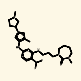 Cc1nn(C2CCN(C)C2)cc1Nc1ncc(C(F)F)c(NCCCN2CCCCN(C)C2=O)n1